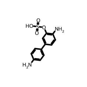 Nc1ccc(-c2ccc(N)c(OS(=O)(=O)O)c2)cc1